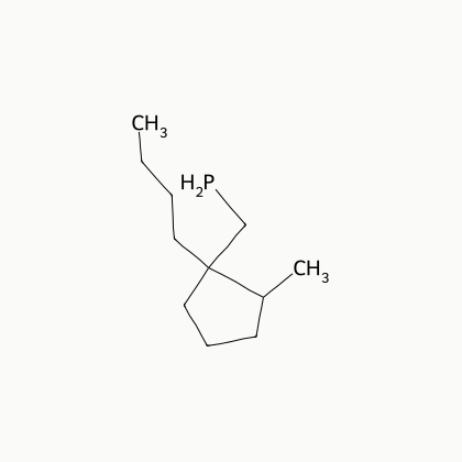 CCCCC1(CP)CCCC1C